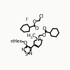 CCCCCCOc1nsnc1C1=CCC[N+](C)(COC(=O)C2CCCCC2)C1.O=C(OCCl)C1CCCCC1.[I-]